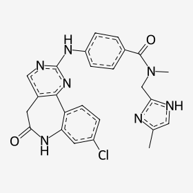 Cc1c[nH]c(CN(C)C(=O)c2ccc(Nc3ncc4c(n3)-c3ccc(Cl)cc3NC(=O)C4)cc2)n1